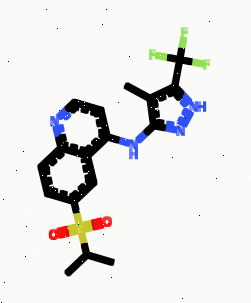 Cc1c(Nc2ccnc3ccc(S(=O)(=O)C(C)C)cc23)n[nH]c1C(F)(F)F